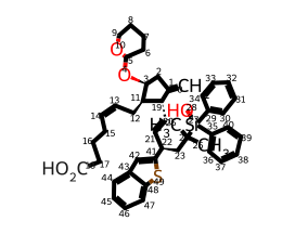 C=C1C[C@H](OC2CCCCO2)[C@H](C/C=C\CCCC(=O)O)[C@H]1/C=C/[C@@H](CC(C)(C)[Si](O)(c1ccccc1)c1ccccc1)c1cc2ccccc2s1